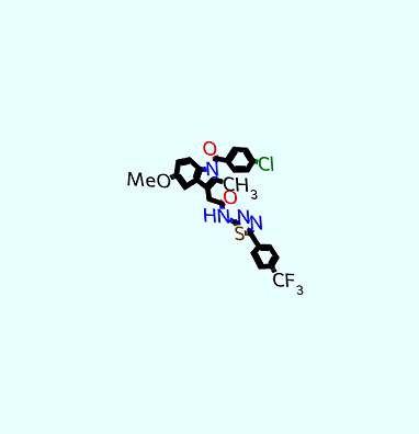 COc1ccc2c(c1)c(CC(=O)Nc1nnc(-c3ccc(C(F)(F)F)cc3)s1)c(C)n2C(=O)c1ccc(Cl)cc1